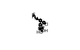 OC(O)c1cnn(C2CCCN(c3cc(Cl)ccc3-c3ccc(C4CN(CCC(F)(F)F)C4)cc3)C2)c1C(F)(F)F